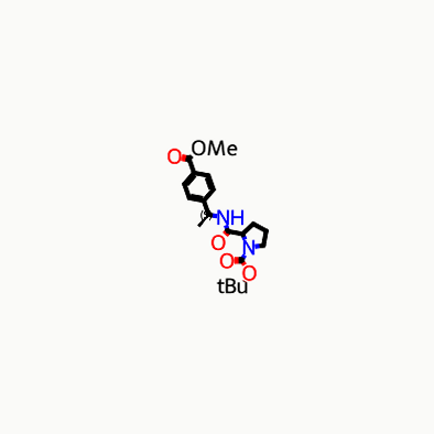 COC(=O)c1ccc([C@H](C)NC(=O)C2CCCN2C(=O)OC(C)(C)C)cc1